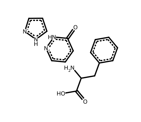 NC(Cc1ccccc1)C(=O)O.O=c1cccn[nH]1.c1cn[nH]c1